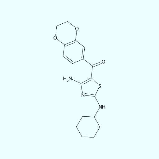 Nc1nc(NC2CCCCC2)sc1C(=O)c1ccc2c(c1)OCCO2